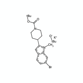 CC(C)(C)[O-].Cn1c(C2CCN(C(=O)OC(C)(C)C)CC2)cc2ccc(Br)cc21.[K+]